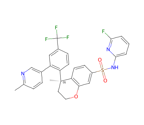 Cc1ccc(-c2cc(C(F)(F)F)ccc2[C@]2(C)CCOc3cc(S(=O)(=O)Nc4cccc(F)n4)ccc32)cn1